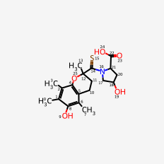 Cc1c(C)c2c(c(C)c1O)CCC(C)(C(=S)N1CC(O)CC1C(=O)O)O2